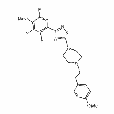 COc1ccc(CCN2CCN(c3nc(-c4cc(F)c(OC)c(F)c4F)ns3)CC2)cc1